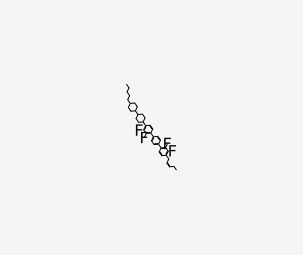 CC/C=C\Cc1ccc(-c2ccc(-c3ccc(C4CCC(C5CCC(CCCCC)CC5)CC4)c(F)c3F)cc2)c(F)c1F